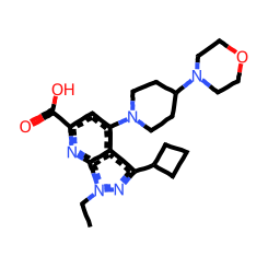 CCn1nc(C2CCC2)c2c(N3CCC(N4CCOCC4)CC3)cc(C(=O)O)nc21